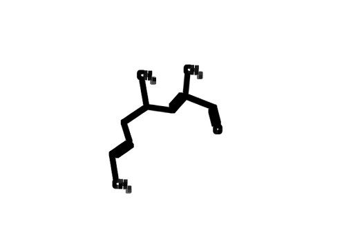 C/C=C/CC(C)/C=C(\C)C=O